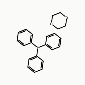 C1COCCO1.c1ccc(P(c2ccccc2)c2ccccc2)cc1